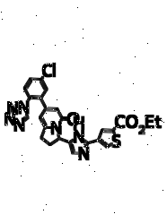 CCOC(=O)c1cc(-c2ncc(C3CCc4cc(-c5cc(Cl)ccc5-n5cnnn5)cc(=O)n43)[nH]2)cs1